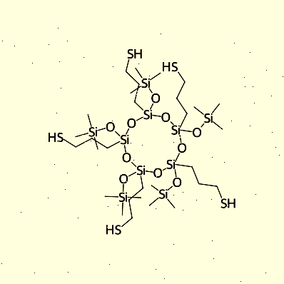 C[Si](C)(C)O[Si]1(CCCS)O[Si](CCCS)(O[Si](C)(C)C)O[Si](CCCS)(O[Si](C)(C)C)O[Si](CCCS)(O[Si](C)(C)C)O[Si](CCCS)(O[Si](C)(C)C)O1